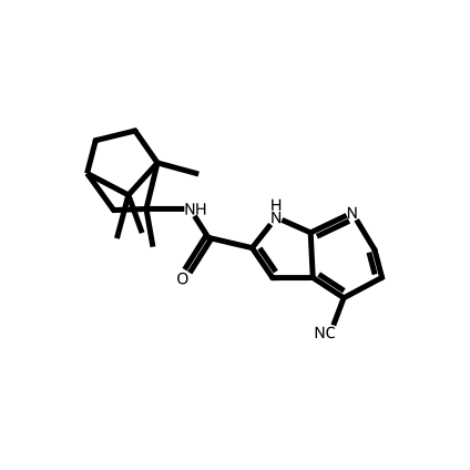 CC1(NC(=O)c2cc3c(C#N)ccnc3[nH]2)CC2CCC1(C)C2(C)C